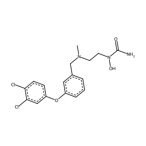 CN(CCN(O)C(N)=O)Cc1cccc(Oc2ccc(Cl)c(Cl)c2)c1